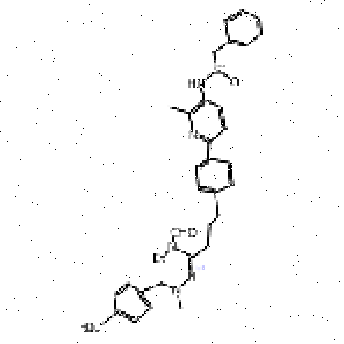 CCN(C=O)/C(CCCc1ccc(-c2ccc(N[S+]([O-])Cc3ccccc3)c(C)n2)cc1)=N\N(C)Cc1ccc(C(C)(C)C)cc1